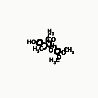 CCc1c(-c2ccc(O)cc2)n(CC)c(=O)n(Cc2ccc(OC)c(OC)c2)c1=O